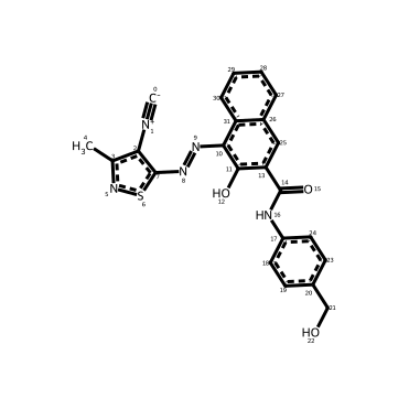 [C-]#[N+]c1c(C)nsc1/N=N/c1c(O)c(C(=O)Nc2ccc(CO)cc2)cc2ccccc12